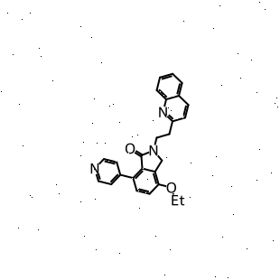 CCOc1ccc(-c2ccncc2)c2c1CN(CCc1ccc3ccccc3n1)C2=O